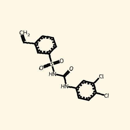 C=Cc1cccc(S(=O)(=O)NC(=O)Nc2ccc(Cl)c(Cl)c2)c1